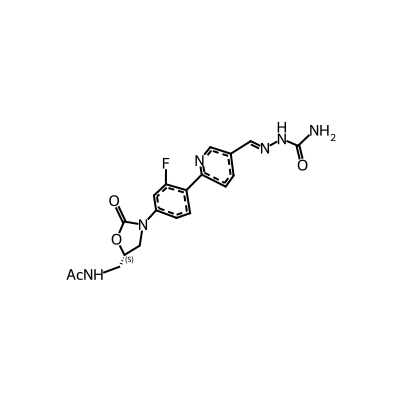 CC(=O)NC[C@H]1CN(c2ccc(-c3ccc(C=NNC(N)=O)cn3)c(F)c2)C(=O)O1